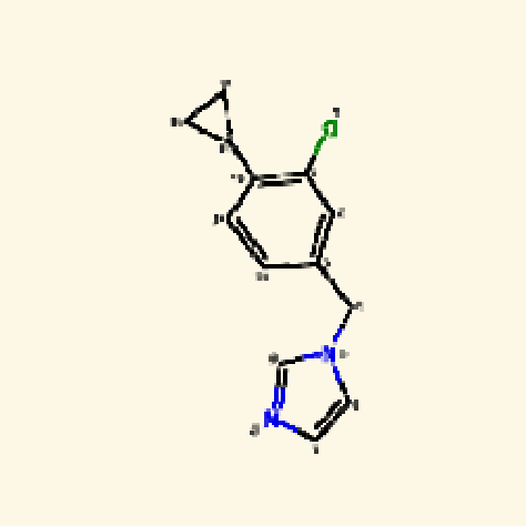 Clc1cc(Cn2ccnc2)ccc1C1CC1